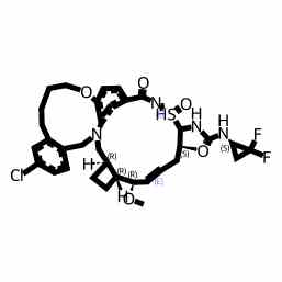 CO[C@H]1/C=C/C[C@H](C)C(NC(=O)N[C@H]2CC2(F)F)/[SH](=O)=N\C(=O)c2ccc3c(c2)N(Cc2ccc(Cl)cc2CCCCO3)C[C@@H]2CC[C@H]21